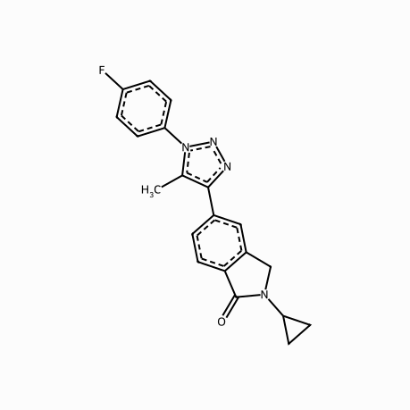 Cc1c(-c2ccc3c(c2)CN(C2CC2)C3=O)nnn1-c1ccc(F)cc1